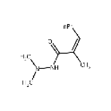 CCCC=C(C)C(=O)NN(C)C